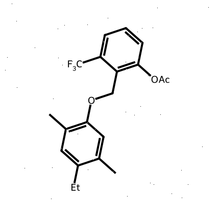 CCc1cc(C)c(OCc2c(OC(C)=O)cccc2C(F)(F)F)cc1C